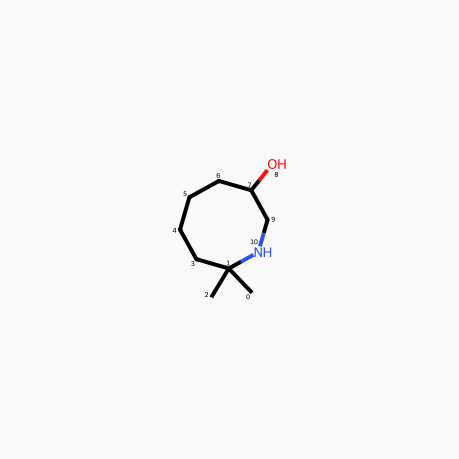 CC1(C)CCCCC(O)CN1